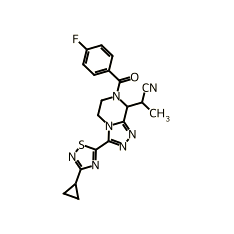 CC(C#N)C1c2nnc(-c3nc(C4CC4)ns3)n2CCN1C(=O)c1ccc(F)cc1